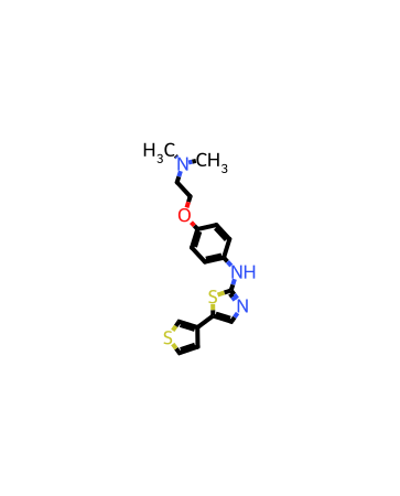 CN(C)CCOc1ccc(Nc2ncc(-c3ccsc3)s2)cc1